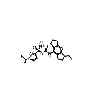 CCC1CCc2c1nc1c(c2NC(=O)N=S(N)(=O)c2ccn(C(F)F)n2)CCC1